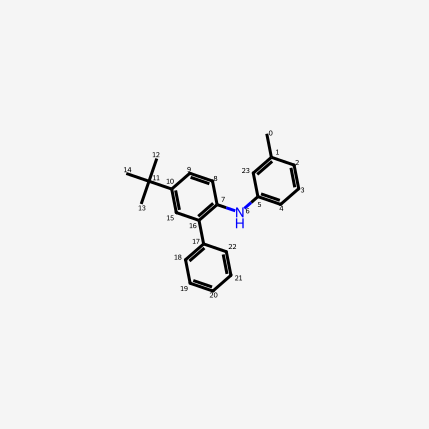 Cc1cccc(Nc2ccc(C(C)(C)C)cc2-c2ccccc2)c1